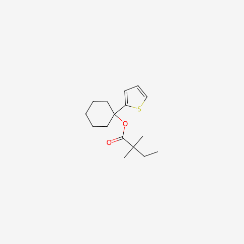 CCC(C)(C)C(=O)OC1(c2cccs2)CCCCC1